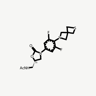 CC(=O)NC[C@H]1CN(c2cc(F)c(N3CC4(CSC4)C3)c(F)c2)C(=O)O1